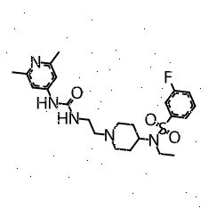 CCN(C1CCN(CCNC(=O)Nc2cc(C)nc(C)c2)CC1)S(=O)(=O)c1cccc(F)c1